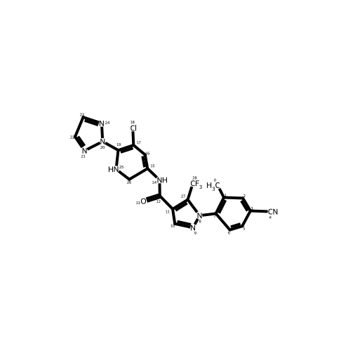 Cc1cc(C#N)ccc1-n1ncc(C(=O)NC2=CC(Cl)=C(n3nccn3)NC2)c1C(F)(F)F